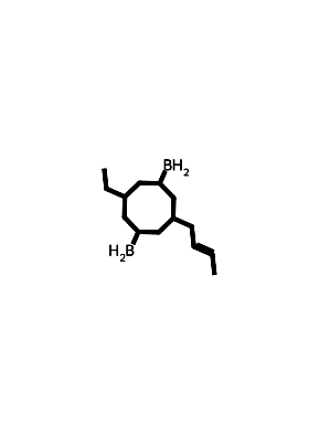 BC1CC(CC)CC(B)CC(CC=CC)C1